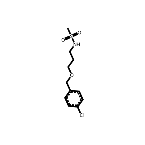 CS(=O)(=O)NCC[CH]OCc1ccc(Cl)cc1